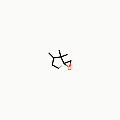 CC1CC[C@@]2(CO2)C1(C)C